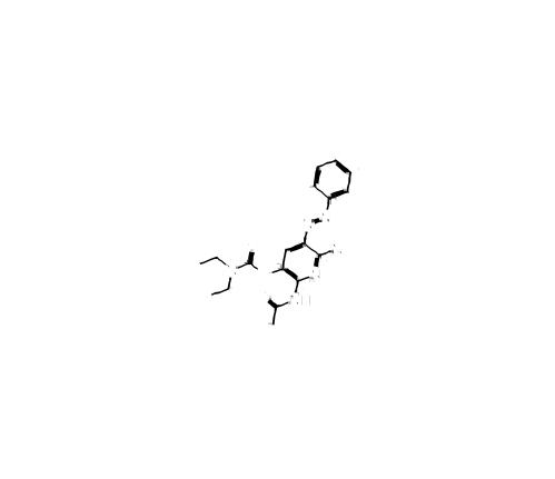 CCN(CC)C(=O)Oc1cc(/N=N/c2ccccc2)c(N)nc1NC(C)=O